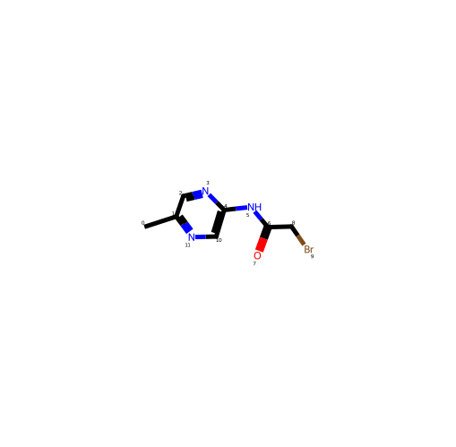 Cc1cnc(NC(=O)CBr)cn1